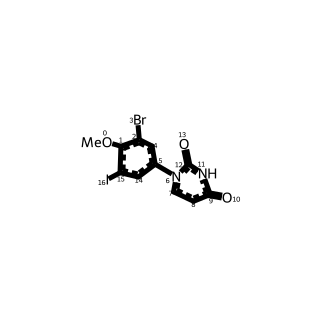 COc1c(Br)cc(-n2ccc(=O)[nH]c2=O)cc1I